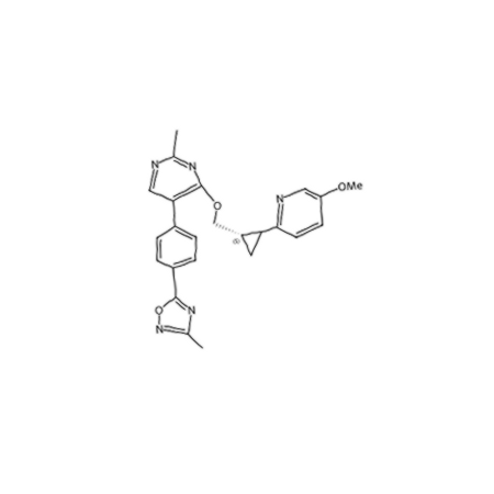 COc1ccc(C2C[C@@H]2COc2nc(C)ncc2-c2ccc(-c3nc(C)no3)cc2)nc1